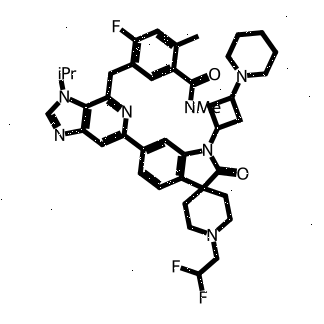 CNC(=O)c1cc(Cc2nc(-c3ccc4c(c3)N(C3CC(N5CCCCC5)C3)C(=O)C43CCN(CC(F)F)CC3)cc3ncn(C(C)C)c23)c(F)cc1C